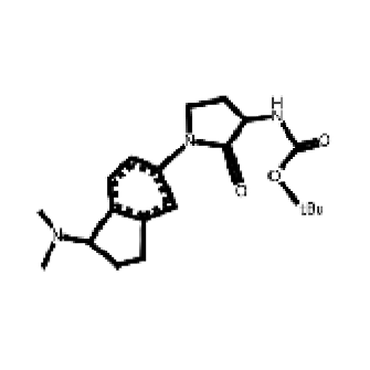 CN(C)C1CCc2cc(N3CCC(NC(=O)OC(C)(C)C)C3=O)ccc21